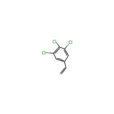 [CH]=Cc1cc(Cl)c(Cl)c(Cl)c1